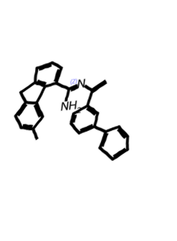 C=C(/N=C(\N)c1cccc2c1-c1cc(C)ccc1C2)c1cccc(-c2ccccc2)c1